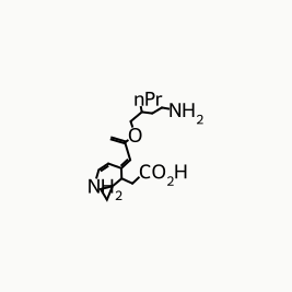 C=C(/C=C(\C=C/N)C(CC(=O)O)C1CC1)OCC(CCC)CCN